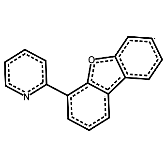 [c]1ccc2c(c1)oc1c(-c3ccccn3)cccc12